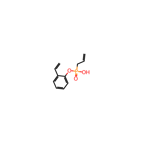 C=CCP(=O)(O)Oc1ccccc1C=C